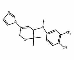 CN(c1ccc(C#N)c(C(F)(F)F)c1)C1C=C(n2ccnc2)COC1(C)C